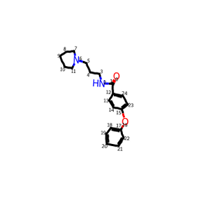 O=C(NCCCN1CCCCC1)c1ccc(Oc2ccccc2)cc1